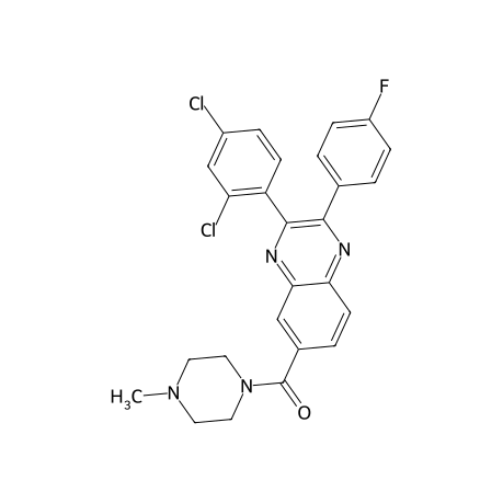 CN1CCN(C(=O)c2ccc3nc(-c4ccc(F)cc4)c(-c4ccc(Cl)cc4Cl)nc3c2)CC1